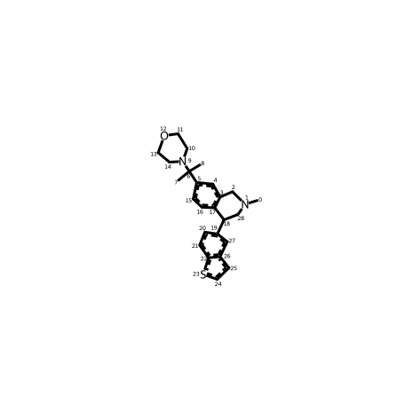 CN1Cc2cc(C(C)(C)N3CCOCC3)ccc2C(c2ccc3sccc3c2)C1